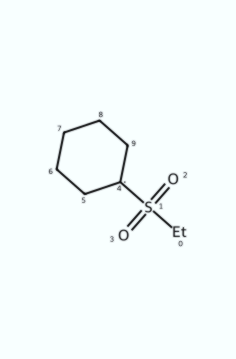 CCS(=O)(=O)[C]1CCCCC1